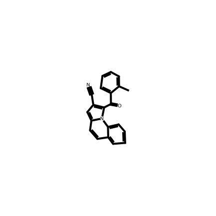 Cc1ccccc1C(=O)c1c(C#N)cc2ccc3ccccc3n12